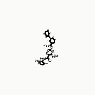 CCCC[C@H](NC(=O)O[C@H](c1cccc(-c2ccccc2)c1)C(C)(C)C)C(=O)C(=O)Nc1ccn[nH]1